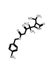 CC(O)C1C(=O)NC1C(C)(C)C(=O)CC(=O)OCc1ccc([N+](=O)[O-])cc1